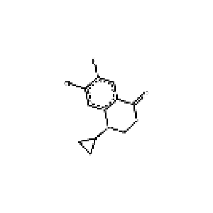 O=C1CCN(C2CC2)c2cc(Cl)c(F)cc21